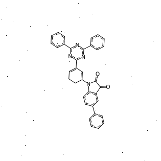 O=C1C(=O)N(C2=CC(c3nc(-c4ccccc4)nc(-c4ccccc4)n3)=CCC2)c2ccc(-c3ccccc3)cc21